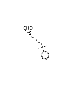 CC(C)(C[CH]CCSCC=O)c1ccccc1